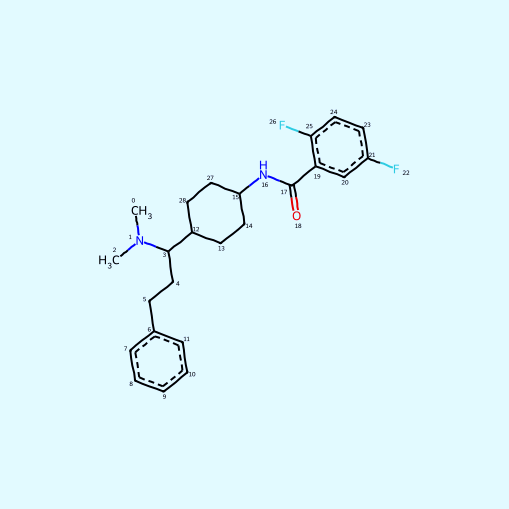 CN(C)C(CCc1ccccc1)C1CCC(NC(=O)c2cc(F)ccc2F)CC1